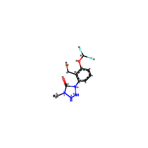 CN1NNN(c2cccc(OC(F)F)c2CBr)C1=O